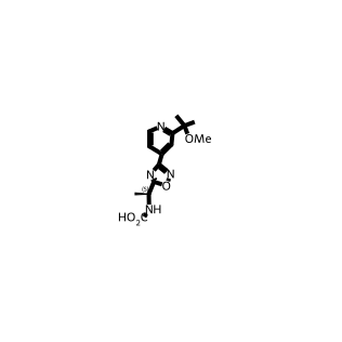 COC(C)(C)c1cc(-c2noc([C@H](C)NC(=O)O)n2)ccn1